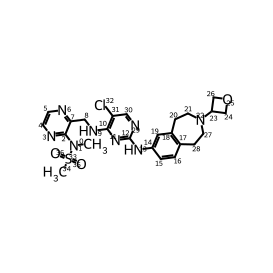 CN(c1nccnc1CNc1nc(Nc2ccc3c(c2)CCN(C2COC2)CC3)ncc1Cl)S(C)(=O)=O